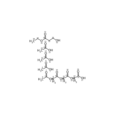 CC(=O)O.CC(=O)O.CC(=O)O.CC(=O)O.CC(=O)O.CC(=O)O.CC(=O)O.CCOC(=O)CCO